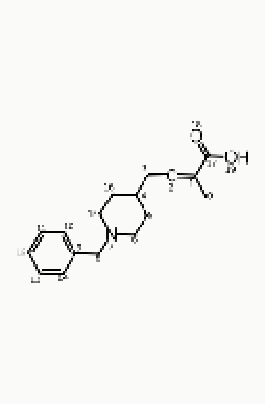 CC(=C=CC1CCN(Cc2ccccc2)CC1)C(=O)O